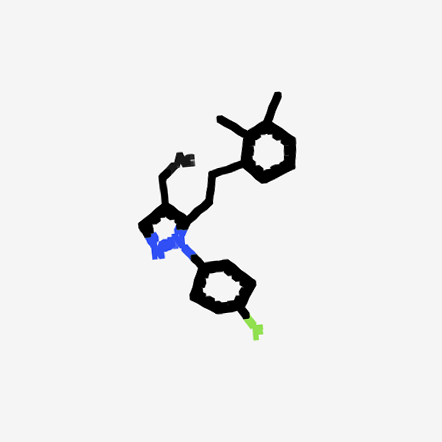 CC(=O)Cc1cnn(-c2ccc(F)cc2)c1CCc1cccc(C)c1C